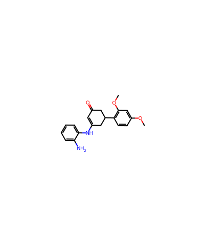 COc1ccc(C2CC(=O)C=C(Nc3ccccc3N)C2)c(OC)c1